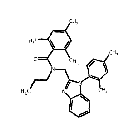 CCCN(Cc1nc2ccccc2n1-c1ccc(C)cc1C)C(=O)c1c(C)cc(C)cc1C